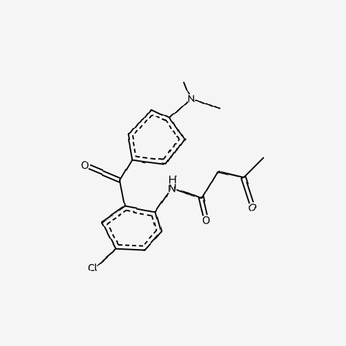 CC(=O)CC(=O)Nc1ccc(Cl)cc1C(=O)c1ccc(N(C)C)cc1